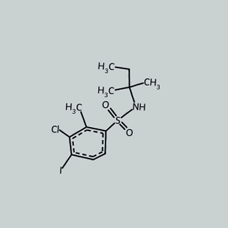 CCC(C)(C)NS(=O)(=O)c1ccc(I)c(Cl)c1C